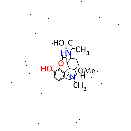 CO[C@@]12CC[C@H](N[C@@H](C)C(=O)O)[C@@H]3Oc4c(O)ccc5c4[C@@]31CCN(C)[C@@H]2C5